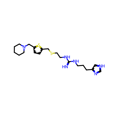 N=C(NCCCc1c[nH]cn1)NCCSCc1ccc(CN2CCCCC2)s1